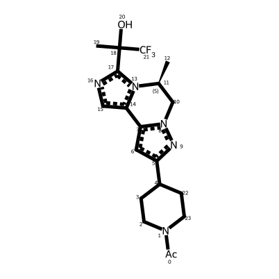 CC(=O)N1CCC(c2cc3n(n2)C[C@H](C)n2c-3cnc2C(C)(O)C(F)(F)F)CC1